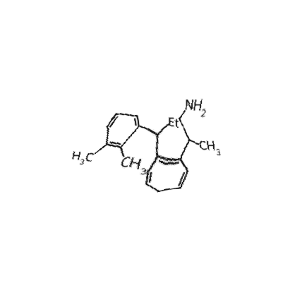 CCC(C1=C(C(C)CN)C=CCC=C1)c1cccc(C)c1C